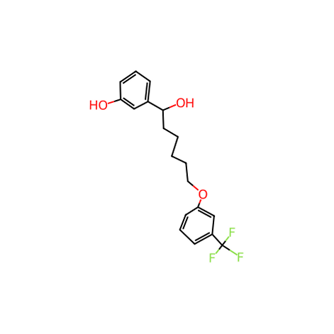 Oc1cccc(C(O)CCCCCOc2cccc(C(F)(F)F)c2)c1